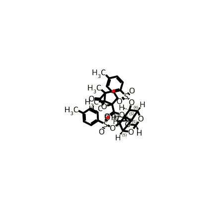 Cc1ccc(S(=O)(=O)O[C@@H]2[C@H]3O[C@@H]4O[C@@H]2[C@@H](OC(=O)C25CCC(C)(C(=O)O2)C5(C)C)[C@H](O4)[C@@H]3OS(=O)(=O)c2ccc(C)cc2)cc1